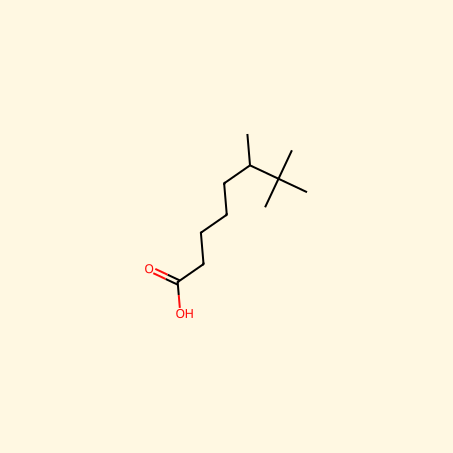 CC(CCCCC(=O)O)C(C)(C)C